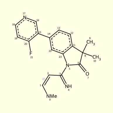 CN/C=C\C(=N)N1C(=O)C(C)(C)c2ccc(-c3cnccc3F)cc21